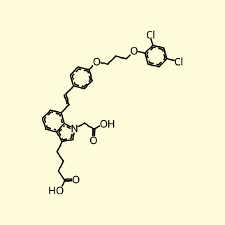 O=C(O)CCCc1cn(CC(=O)O)c2c(/C=C/c3ccc(OCCCOc4ccc(Cl)cc4Cl)cc3)cccc12